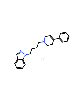 C1=C(c2ccccc2)CCN(CCCCn2ncc3ccccc32)C1.Cl